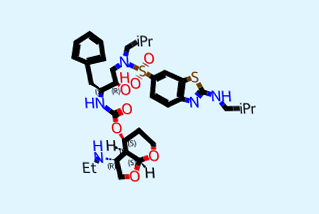 CCN[C@H]1CO[C@@H]2OCC[C@H](OC(=O)N[C@@H](Cc3ccccc3)[C@H](O)CN(CC(C)C)S(=O)(=O)c3ccc4nc(NCC(C)C)sc4c3)[C@@H]21